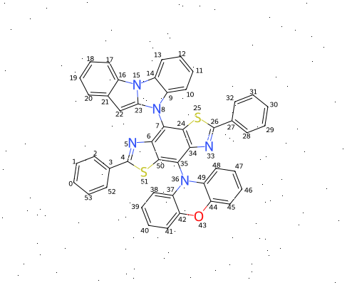 c1ccc(-c2nc3c(-n4c5ccccc5n5c6ccccc6cc45)c4sc(-c5ccccc5)nc4c(N4c5ccccc5Oc5ccccc54)c3s2)cc1